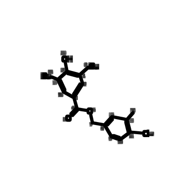 CCC(C)c1cc(C(=O)OCc2ccc(Cl)c(C)c2)cc(C(C)CC)c1O